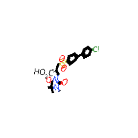 CN1C(=O)N(C[C@@H](CS(=O)(=O)c2ccc(-c3ccc(Cl)cc3)cc2)C(=O)O)C(=O)C1(C)C